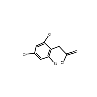 CCc1cc(Cl)cc(Cl)c1CC(=O)Cl